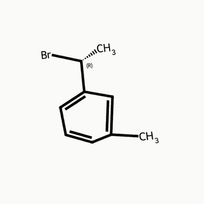 Cc1cccc([C@@H](C)Br)c1